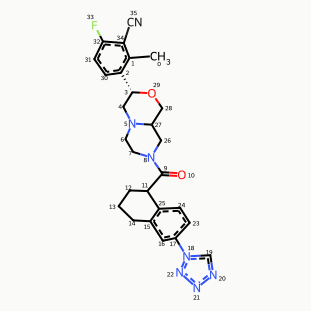 Cc1c([C@H]2CN3CCN(C(=O)C4CCCc5cc(-n6cnnn6)ccc54)CC3CO2)ccc(F)c1C#N